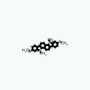 CSc1ccc2c3ccc4c(ccc5c6ccc(SC)cc6n(C)c54)c3n(C)c2c1